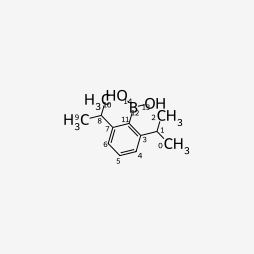 CC(C)c1cccc(C(C)C)c1B(O)O